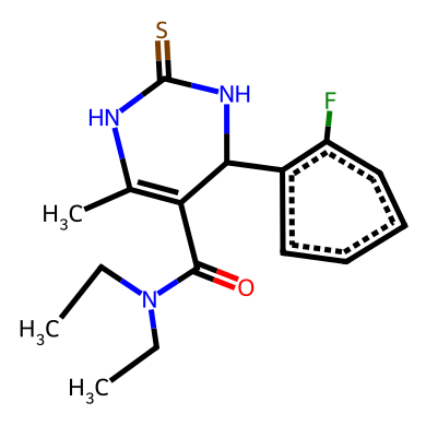 CCN(CC)C(=O)C1=C(C)NC(=S)NC1c1ccccc1F